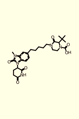 Cn1c(=O)n(C2CCC(=O)NC2=O)c2ccc(CCCCCN3CCN(C(=O)O)C(C(C)(C)C)C3=O)cc21